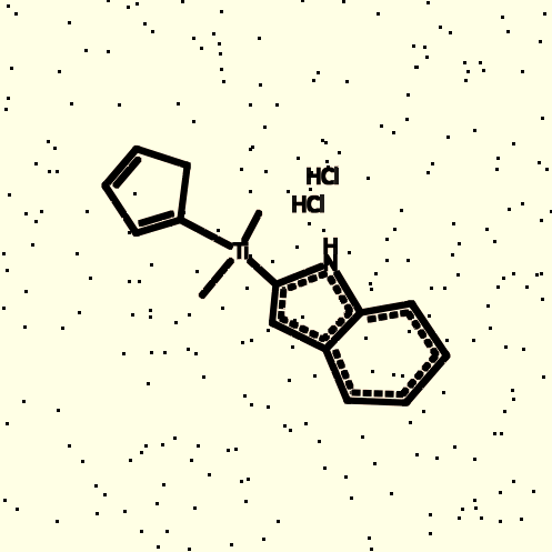 Cl.Cl.[CH3][Ti]([CH3])([C]1=CC=CC1)[c]1cc2ccccc2[nH]1